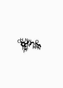 Nc1nc(CNC(=O)c2ccn[nH]2)cnc1-c1cc(Cl)ccc1OC(F)(F)F